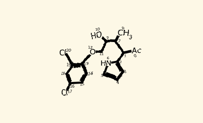 CC(=O)C(c1ccc[nH]1)C(C)C(O)COc1ccc(Cl)cc1Cl